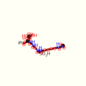 CC(C)C(=O)OCc1ccc(O[C@@H]2O[C@H](CO)[C@H](O)[C@H](O)[C@H]2O)c(NC(=O)CCNC(=O)COCCNC(=O)C(CS(=O)(=O)O)NC(=O)CCOCCOCCOCCOCCNC(=O)CCN2C(=O)C=CC2=O)c1